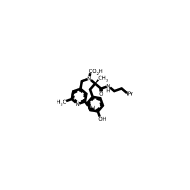 Cc1cc(CN(C(=O)O)[C@@](C)(Cc2ccc(O)cc2)C(=O)NCCC(C)C)cc(C)n1